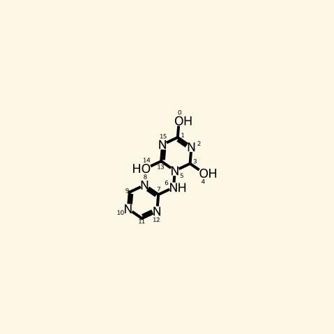 OC1=NC(O)N(Nc2ncncn2)C(O)=N1